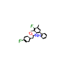 Cc1cc(-c2ccccc2)c(NC(=O)Cc2ccc(F)cc2)c(C)c1F